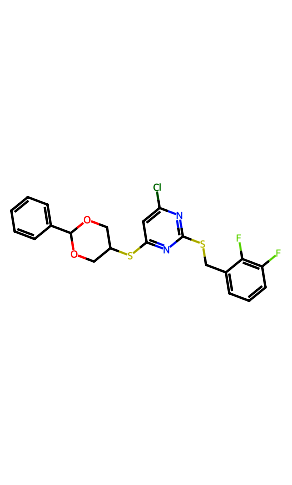 Fc1cccc(CSc2nc(Cl)cc(SC3COC(c4ccccc4)OC3)n2)c1F